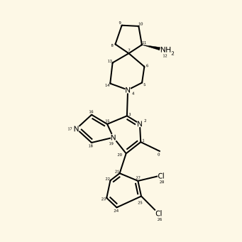 Cc1nc(N2CCC3(CCC[C@H]3N)CC2)c2cncn2c1-c1cccc(Cl)c1Cl